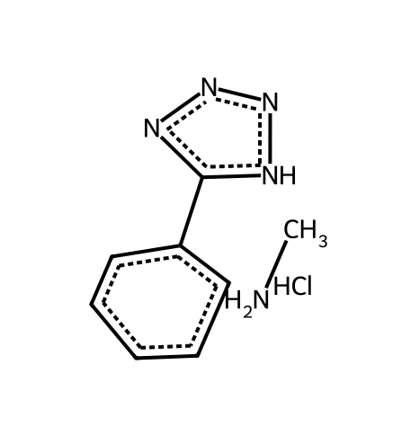 CN.Cl.c1ccc(-c2nnn[nH]2)cc1